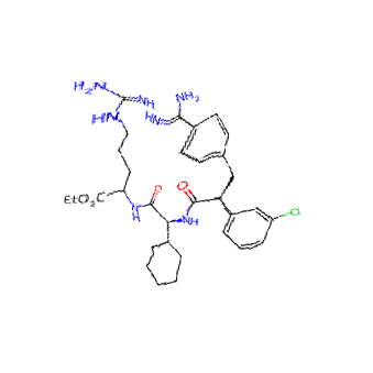 CCOC(=O)C(CCCNC(=N)N)NC(=O)[C@@H](NC(=O)[C@@H](Cc1ccc(C(=N)N)cc1)c1cccc(Cl)c1)C1CCCCC1